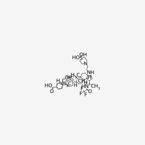 CC(NC(=O)C(F)(F)F)[C@@H]1CC[C@]2(NCCN3CCS(O)(O)CC3)CC[C@]3(C)[C@H](CC[C@@H]4[C@@]5(C)CC=C(c6ccc(C(=O)O)cc6)C(C)(C)[C@@H]5CC[C@]43C)[C@@H]12